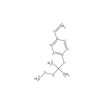 C=Cc1ccc(CC(C)(C)CCC)cc1